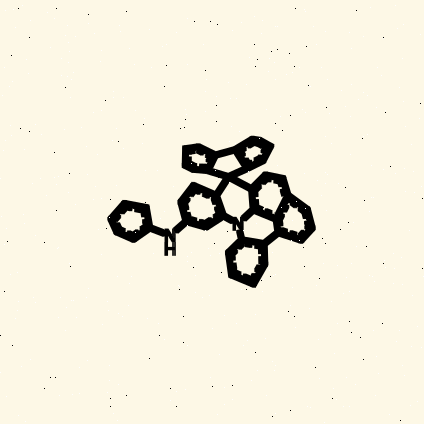 c1ccc(Nc2ccc3c(c2)N2c4ccccc4-c4cccc5ccc(c2c45)C32c3ccccc3-c3ccccc32)cc1